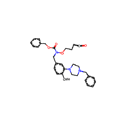 COc1ccc(CN(OCCC=C=O)C(=O)OCc2ccccc2)cc1N1CCN(Cc2ccccc2)CC1